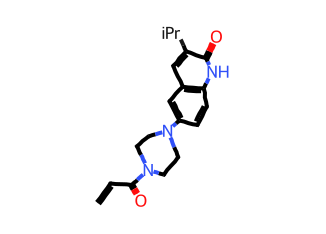 C=CC(=O)N1CCN(c2ccc3[nH]c(=O)c(C(C)C)cc3c2)CC1